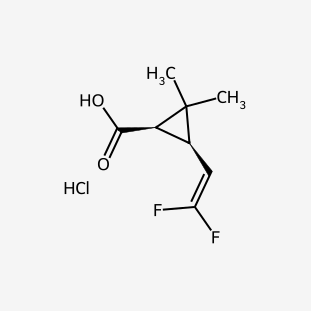 CC1(C)[C@H](C(=O)O)[C@@H]1C=C(F)F.Cl